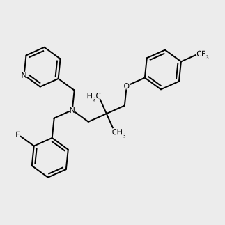 CC(C)(COc1ccc(C(F)(F)F)cc1)CN(Cc1cccnc1)Cc1ccccc1F